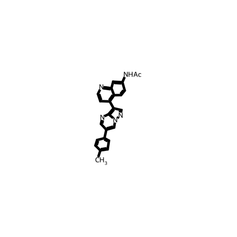 CC(=O)Nc1ccc2c(-c3cnn4cc(-c5ccc(C)cc5)cnc34)ccnc2c1